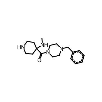 CNC1(C(=O)N2CCN(Cc3ccccc3)CC2)CCNCC1